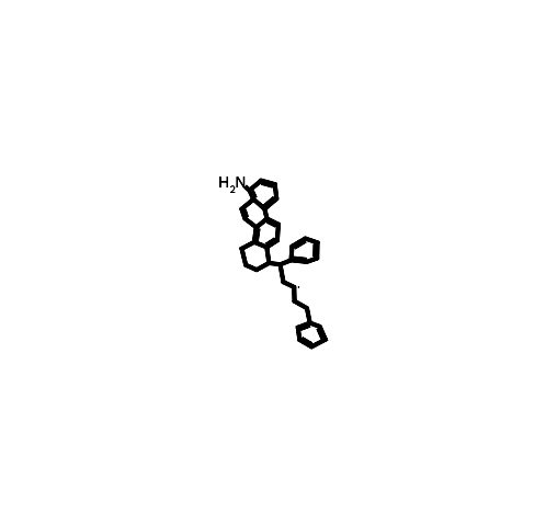 Nc1cccc2c1ccc1c3c(ccc12)C(C(C[CH]CCc1ccccc1)c1ccccc1)CCC3